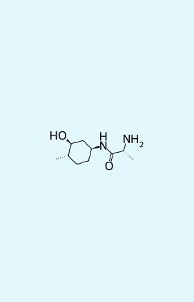 C[C@@H](N)C(=O)N[C@H]1CC[C@H](C)[C@@H](O)C1